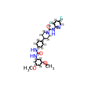 COc1cc(NC(=O)Nc2ccc(C3CCN(C(=O)Nc4ncc(F)cc4F)CC3)cc2)cc(OC)c1